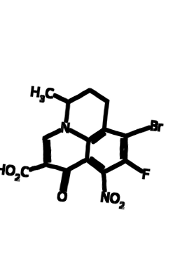 CC1CCc2c(Br)c(F)c([N+](=O)[O-])c3c(=O)c(C(=O)O)cn1c23